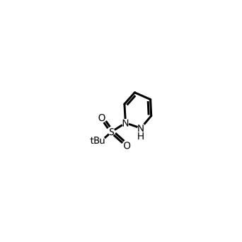 CC(C)(C)S(=O)(=O)N1C=CC=CN1